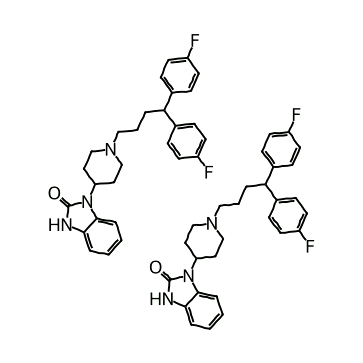 O=c1[nH]c2ccccc2n1C1CCN(CCCC(c2ccc(F)cc2)c2ccc(F)cc2)CC1.O=c1[nH]c2ccccc2n1C1CCN(CCCC(c2ccc(F)cc2)c2ccc(F)cc2)CC1